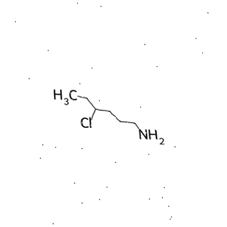 CCC(Cl)CCCN